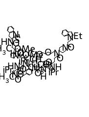 CCc1cc2ccccc2n1CCC(=O)N1CCC(N(CCOCCOCCC(=O)O)C(=O)CCC(=O)N[C@H](C(=O)N[C@@H](C)C(=O)Nc2ccc(COC(=O)N(C)C(C(=O)N[C@H](C(=O)N3C(C)[C@H](C)[C@H]3[C@@H](CC(=O)N3CCC[C@H]3[C@H](OC)[C@@H](C)C(=O)N[C@@H](Cc3ccccc3)c3nccs3)OC)C(C)C)C(C)C)cc2)C(C)C)CC1